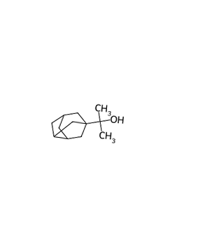 CC(C)(O)C12CC3CC(C1)C(C3)C2